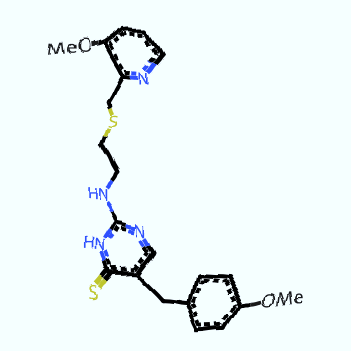 COc1ccc(Cc2cnc(NCCSCc3ncccc3OC)[nH]c2=S)cc1